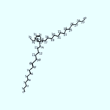 CCCCCCCCCCCCCCCc1n(CCCCCCCCCCCCCC)cc[n+]1CC